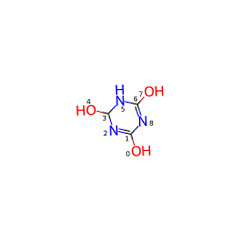 OC1=NC(O)NC(O)=N1